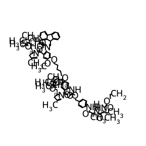 C=CCOC(=O)N[C@H](C(=O)N[C@@H](C)C(=O)Nc1ccc(COC(=O)Nc2cc(OCCCCCOc3cc(N(CC4c5ccccc5-c5ccccc54)C(=O)O)c(C(=O)N4C=C(C)C[C@H]4CO[Si](C)(C)C(C)(C)C)cc3OC)c(OC)cc2C(=O)N2C=C(C)C[C@H]2CO[Si](C)(C)C(C)(C)C)cc1)C(C)C